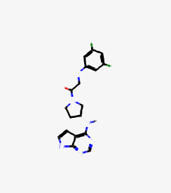 CN(c1ncnc2[nH]ccc12)[C@@H]1CCN(C(O)CNc2cc(Cl)cc(Cl)c2)C1